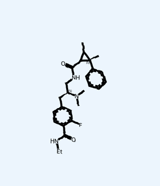 CCNC(=O)c1ccc(C[C@@H](CNC(=O)C2C(C)[C@]2(C)c2ccccc2)N(C)C)cc1F